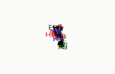 CCN1C(=O)c2c(O)c(=O)c(C(=O)NCc3ccc(F)c(Cl)c3F)cn2N2CCOC[C@@H]12